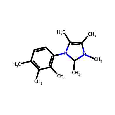 CC1=C(C)N(c2ccc(C)c(C)c2C)[C@H](C)N1C